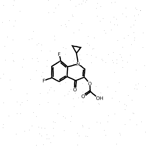 O=C(O)Oc1cn(C2CC2)c2c(F)cc(F)cc2c1=O